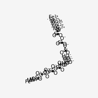 O=[Si]([O-])[O-].O=[Si]([O-])[O-].O=[Si]([O-])[O-].O=[Si]([O-])[O-].O=[Si]([O-])[O-].O=[Si]([O-])[O-].O=[Si]([O-])[O-].[Fe+3].[Fe+3].[Fe+3].[Mg+2].[Mg+2].[Mg+2].[Mn+2].[Mn+2].[Mn+2].[OH-].[OH-].[OH-].[OH-].[OH-].[OH-].[OH-]